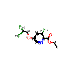 CCOC(=O)c1ncc(OCC(F)F)cc1F